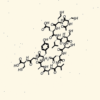 CC(=O)N[C@@H](CS)C(=O)N[C@@H](CCS)C(=O)N[C@@H](CCC(=O)O)C(=O)N[C@@H](CC(C)C)C(=O)N[C@@H](CS)C(=O)N[C@@H](CS)C(=O)N[C@@H](CC(N)=O)C(=O)N[C@H](C(=O)N[C@@H](C)C(=O)N[C@@H](C)C(=O)N[C@@H](Cc1ccc(O)cc1)C(=O)NCC(=O)N[C@@H](CS)C(=O)O)C(C)C